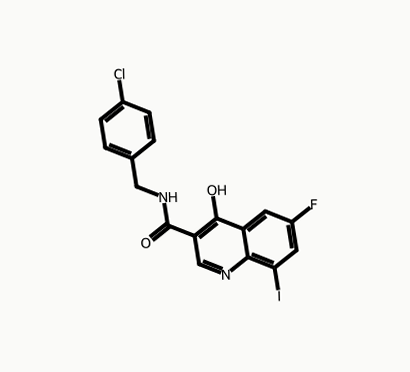 O=C(NCc1ccc(Cl)cc1)c1cnc2c(I)cc(F)cc2c1O